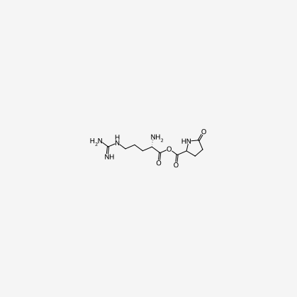 N=C(N)NCCC[C@H](N)C(=O)OC(=O)C1CCC(=O)N1